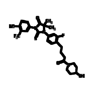 CC1(C)C(=O)N(c2ccc(C#N)c(C(F)(F)F)c2)C(=S)N1c1ccc(CCCC(=O)N2CCC(O)CC2)c(F)c1